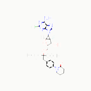 Nc1nc(Cl)nc2c1ncn2C1[C@@H]2O[C@H](COC(Cc3ccc(N4CCCCC4=O)cc3)(C(=O)O)C(=O)O)[C@@H](O)[C@@]12F